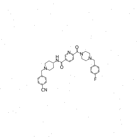 N#Cc1ccc(CN2CCC(NC(=O)c3ccc(C(=O)N4CCN(Cc5ccc(F)cc5)CC4)nc3)CC2)cc1